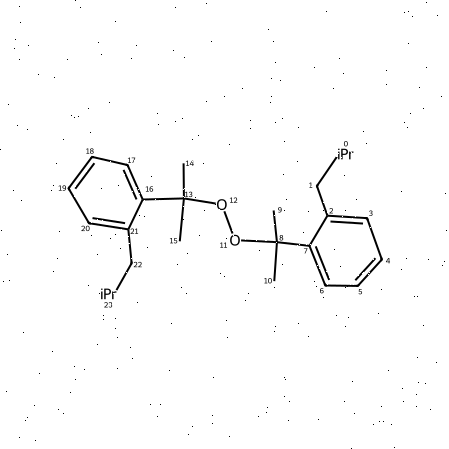 CC(C)Cc1ccccc1C(C)(C)OOC(C)(C)c1ccccc1CC(C)C